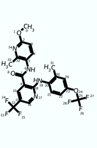 COc1ccc(NC(=O)c2cc(C(F)(F)F)cnc2Nc2ccc(OC(F)(F)F)cc2C)c(C)n1